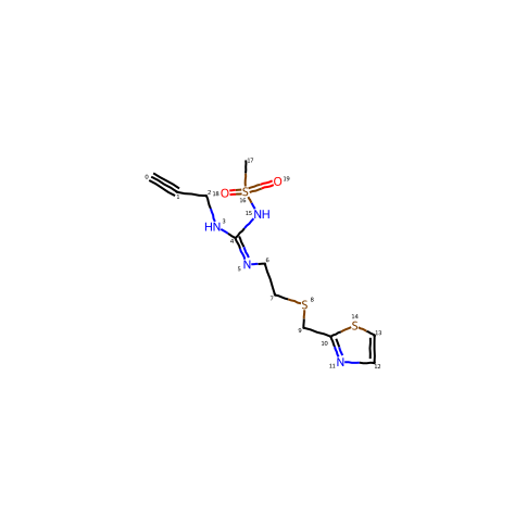 C#CCN/C(=N/CCSCc1nccs1)NS(C)(=O)=O